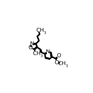 CCCCc1noc(C)c1C=Cc1ccc(C(=O)OC)cn1